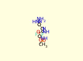 CCCS(=O)(=O)Nc1ccc(F)c(C(=O)c2c[nH]c3ncc(-c4ccc5[nH]c(N)nc5c4)cc23)c1F